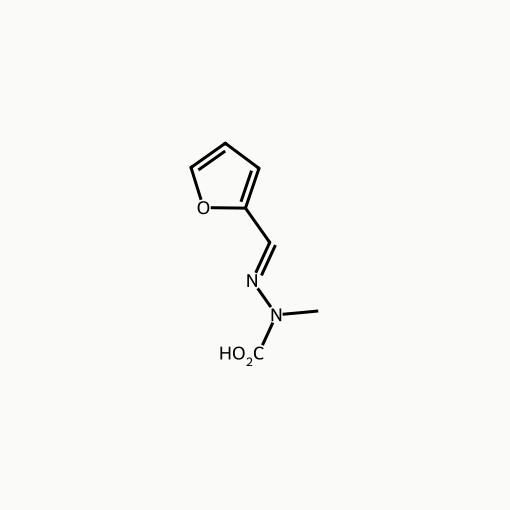 CN(N=Cc1ccco1)C(=O)O